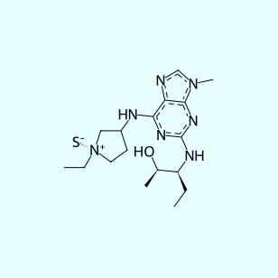 CC[C@H](Nc1nc(NC2CC[N@@+]([S-])(CC)C2)c2ncn(C)c2n1)[C@@H](C)O